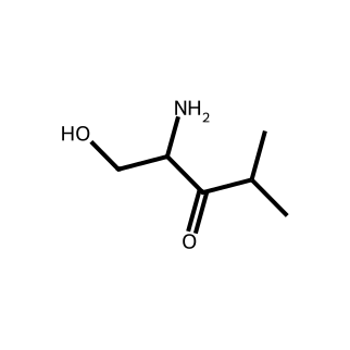 CC(C)C(=O)C(N)CO